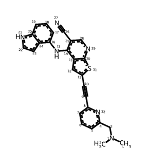 CN(C)Cc1cccc(C#Cc2cc3c(Nc4cccc5[nH]ccc45)c(C#N)cnc3s2)n1